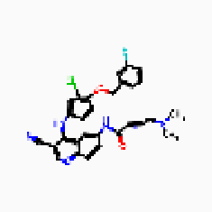 CN(C)C/C=C/C(=O)Nc1ccc2ncc(C#N)c(Nc3ccc(OCc4cccc(F)c4)c(Cl)c3)c2c1